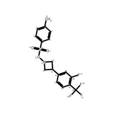 Cc1ccc(S(=O)(=O)ON2CC(c3ccc(C(F)(F)F)c(F)c3)C2)cc1